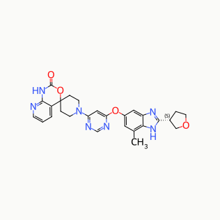 Cc1cc(Oc2cc(N3CCC4(CC3)OC(=O)Nc3ncccc34)ncn2)cc2nc([C@@H]3CCOC3)[nH]c12